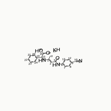 C/C(=C\C(=O)Nc1ccc(C#N)cc1)NC(C(=O)O)c1ccccc1.[KH]